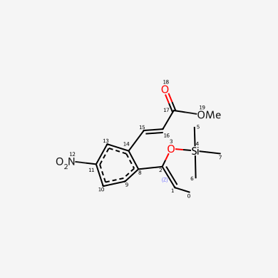 C/C=C(\O[Si](C)(C)C)c1ccc([N+](=O)[O-])cc1C=CC(=O)OC